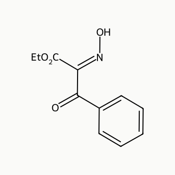 CCOC(=O)C(=NO)C(=O)c1ccccc1